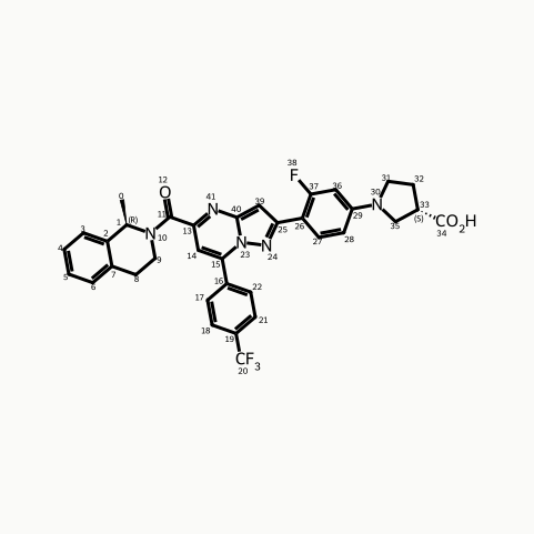 C[C@@H]1c2ccccc2CCN1C(=O)c1cc(-c2ccc(C(F)(F)F)cc2)n2nc(-c3ccc(N4CC[C@H](C(=O)O)C4)cc3F)cc2n1